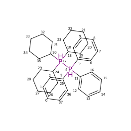 c1ccc([PH](c2ccccc2)(c2ccccc2)[PH](C2CCCCC2)(C2CCCCC2)C2CCCCC2)cc1